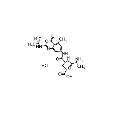 Cc1cc(NC(=O)[C@H](CCC(=O)O)NC(=O)[C@H](C)N)cc2nc(NC(C)C)oc(=O)c12.Cl